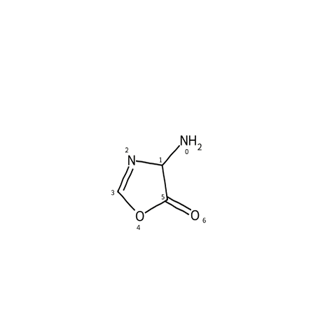 NC1N=COC1=O